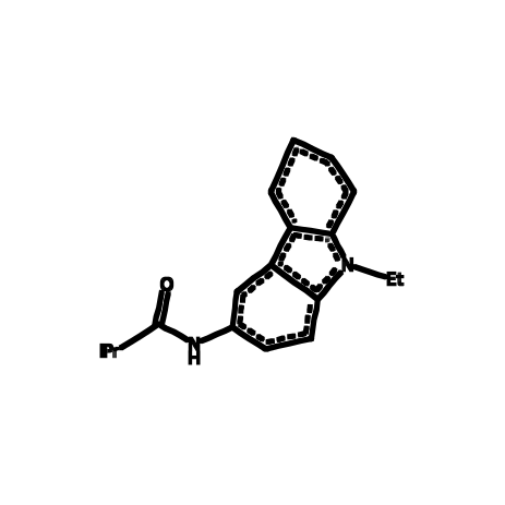 CCn1c2ccccc2c2cc(NC(=O)C(C)C)ccc21